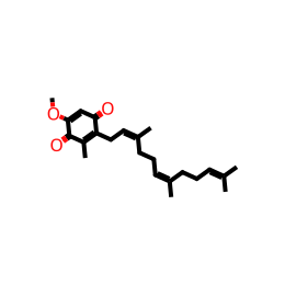 COC1=CC(=O)C(CC=C(C)CCC=C(C)CCC=C(C)C)=C(C)C1=O